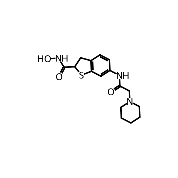 O=C(CN1CCCCC1)Nc1ccc2c(c1)SC(C(=O)NO)C2